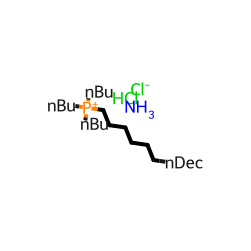 CCCCCCCCCCCCCCCC[P+](CCCC)(CCCC)CCCC.Cl.N.[Cl-]